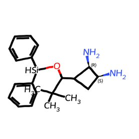 CC(C)(C)C(O[SiH](c1ccccc1)c1ccccc1)C1C[C@H](N)[C@@H]1N